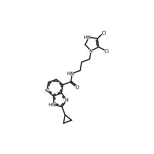 O=C(NCCCN1CNC(Cl)=C1Cl)c1ccnc2[nH]c(C3CC3)nc12